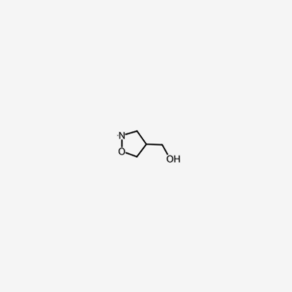 OCC1C[N]OC1